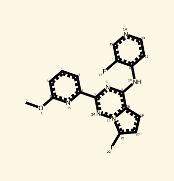 COc1cccc(-c2nc(Nc3ccncc3F)c3ccc(I)n3n2)n1